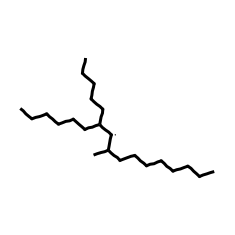 CCCCCCCCC(C)[CH]C(CCCCC)CCCCCC